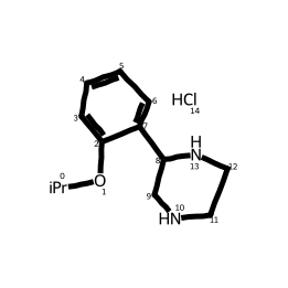 CC(C)Oc1ccccc1C1CNCCN1.Cl